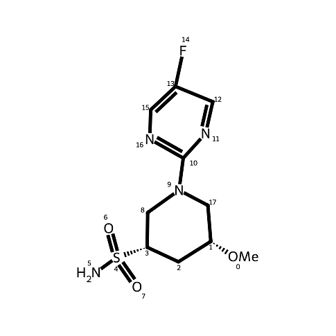 CO[C@@H]1C[C@H](S(N)(=O)=O)CN(c2ncc(F)cn2)C1